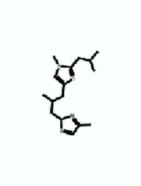 CC1=NC(CC(C)Cc2cn(C)c(CC(C)C)n2)N=C1